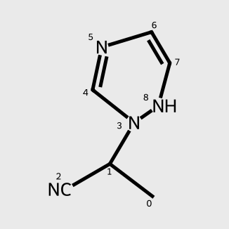 CC(C#N)N1C=NC=CN1